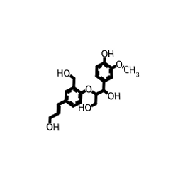 COc1cc(C(O)C(CO)Oc2ccc(/C=C/CO)cc2CO)ccc1O